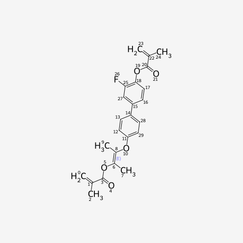 C=C(C)C(=O)O/C(C)=C(\C)Oc1ccc(-c2ccc(OC(=O)C(=C)C)c(F)c2)cc1